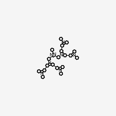 c1ccc(-c2nc(-c3cccc(-n4c5ccc(-c6ccc7c(c6)c6ccccc6n7-c6ccccc6)cc5c5cc(-c6ccc7c(c6)c6ccccc6n7-c6ccccc6)ccc54)c3)cc(-c3cccc(-n4c5ccc(-c6ccc7c(c6)c6ccccc6n7-c6ccccc6)cc5c5cc(-c6ccc7c(c6)c6ccccc6n7-c6ccccc6)ccc54)c3)n2)cc1